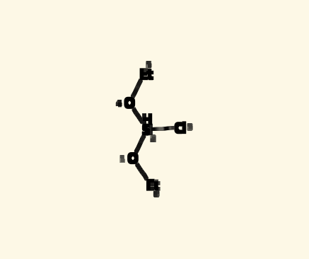 CCO[SiH](Cl)OCC